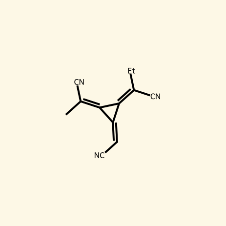 CC/C(C#N)=C1\C(=C(C)C#N)\C1=C/C#N